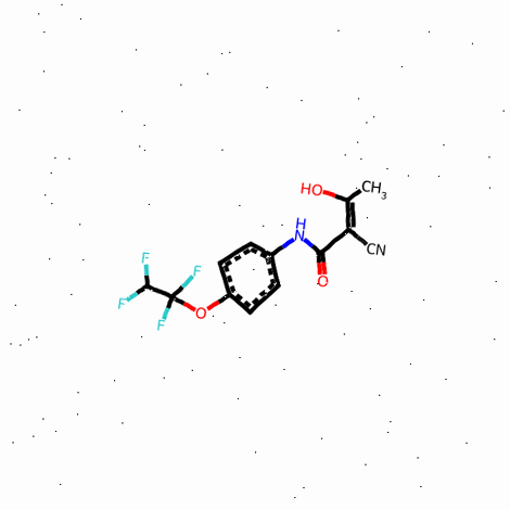 CC(O)=C(C#N)C(=O)Nc1ccc(OC(F)(F)C(F)F)cc1